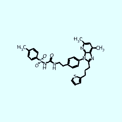 Cc1ccc(S(=O)(=O)NC(=O)NCCc2ccc(-n3c(CCCc4cccs4)nc4c(C)cc(C)nc43)cc2)cc1